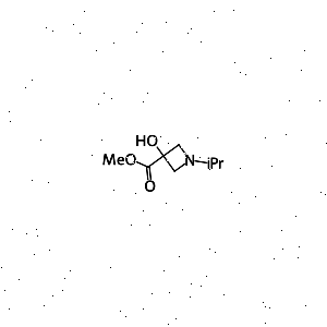 COC(=O)C1(O)CN(C(C)C)C1